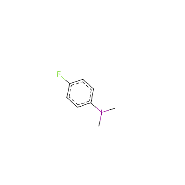 CI(C)c1ccc(F)cc1